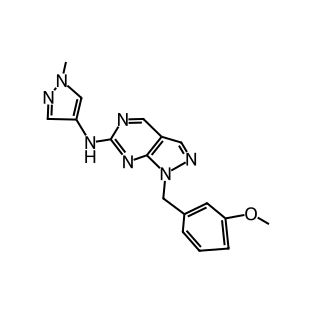 COc1cccc(Cn2ncc3cnc(Nc4cnn(C)c4)nc32)c1